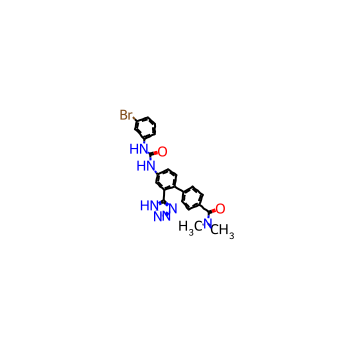 CN(C)C(=O)c1ccc(-c2ccc(NC(=O)Nc3cccc(Br)c3)cc2-c2nnn[nH]2)cc1